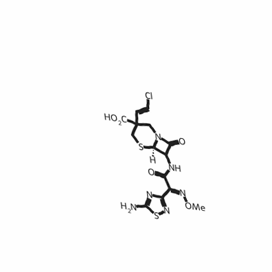 CON=C(C(=O)NC1C(=O)N2CC(C=CCl)(C(=O)O)CS[C@H]12)c1nsc(N)n1